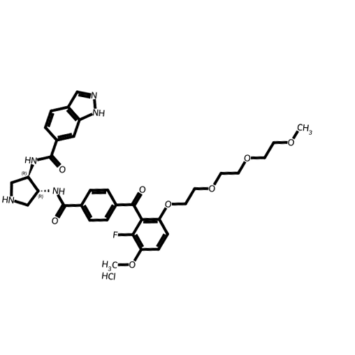 COCCOCCOCCOc1ccc(OC)c(F)c1C(=O)c1ccc(C(=O)N[C@@H]2CNC[C@H]2NC(=O)c2ccc3cn[nH]c3c2)cc1.Cl